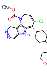 CC(C)(C)OC(=O)N1CC=C(Cl)C([C@H]2CC[C@H](OC3CCOCC3)CC2)=c2[nH]c3c(c21)CN=NC=3